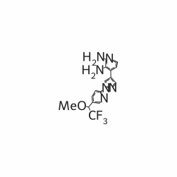 COC(c1ccc(-n2cc(-c3ccnc(N)c3N)cn2)nc1)C(F)(F)F